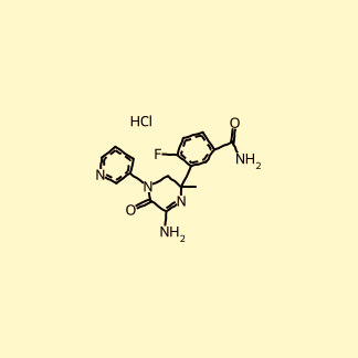 CC1(c2cc(C(N)=O)ccc2F)CN(c2cccnc2)C(=O)C(N)=N1.Cl